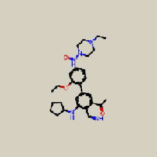 CCOc1cc([NH+]([O-])N2CCN(CC)CC2)ccc1-c1cc(NC2CCCC2)c(C=N)c(C(C)=O)c1